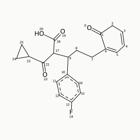 O=C1CC=CC=C1CCC(c1ccc(F)cc1)C(C(=O)O)C(=O)C1CC1